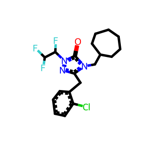 O=c1n(C(F)C(F)F)nc(Cc2ccccc2Cl)n1CC1CCCCCC1